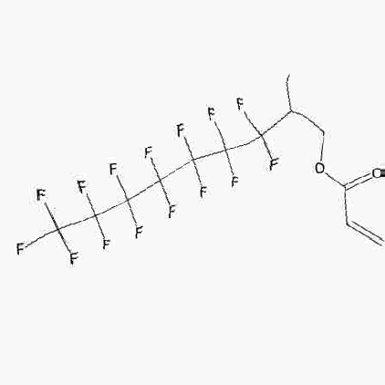 C=CC(=O)OCC(C)C(F)(F)C(F)(F)C(F)(F)C(F)(F)C(F)(F)C(F)(F)C(F)(F)F